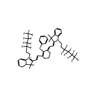 CC1(C)/C(=C\C=C2/CCCC(/C=C/C3=[N+](CCC(F)(F)C(F)(F)C(F)(F)C(F)(F)F)C4=CC=CCC4C3(C)C)=C2Sc2ccccc2)N(CCC(F)(F)C(F)(F)C(F)(F)C(F)(F)F)c2ccccc21